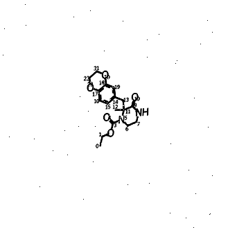 CCOC(=O)N1CCNC(=O)C1(C)Cc1ccc2c(c1)OCCO2